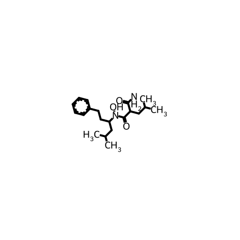 CC(C)CC(C(N)=O)C(=O)N(O)C(CCc1ccccc1)CC(C)C